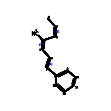 C\C=C/C(C#N)=C\C=C\c1ccccc1